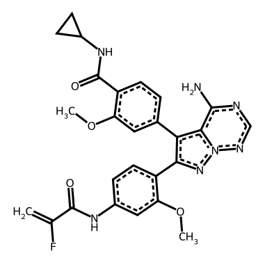 C=C(F)C(=O)Nc1ccc(-c2nn3ncnc(N)c3c2-c2ccc(C(=O)NC3CC3)c(OC)c2)c(OC)c1